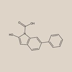 O=C(O)n1c(O)cc2ccc(-c3ccccc3)cc21